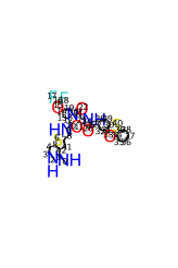 N=c1[nH]ccc2sc(CNC(=O)C3C[C@@H](OC(F)F)CN3C(=O)CNC(=O)c3ccc4c(c3)Oc3ccccc3S4)cc12